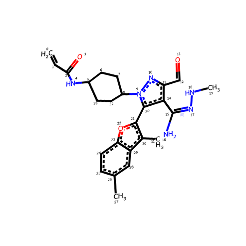 C=CC(=O)NC1CCC(n2nc(C=O)c(/C(N)=N\NC)c2-c2oc3ccc(C)cc3c2C)CC1